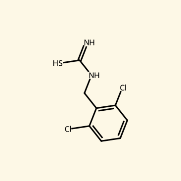 N=C(S)NCc1c(Cl)cccc1Cl